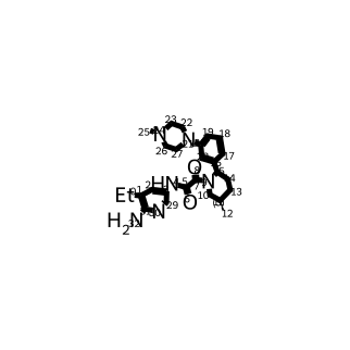 CCc1cc(NC(=O)C(=O)N2C[C@@H](C)CCC2c2cccc(N3CCN(C)CC3)c2)cnc1N